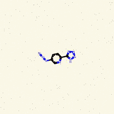 [N-]=[N+]=Nc1ccc(-c2nnn[nH]2)nc1